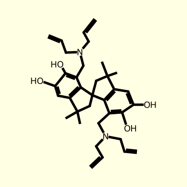 C=CCN(CC=C)Cc1c(O)c(O)cc2c1C1(CC2(C)C)CC(C)(C)c2cc(O)c(O)c(CN(CC=C)CC=C)c21